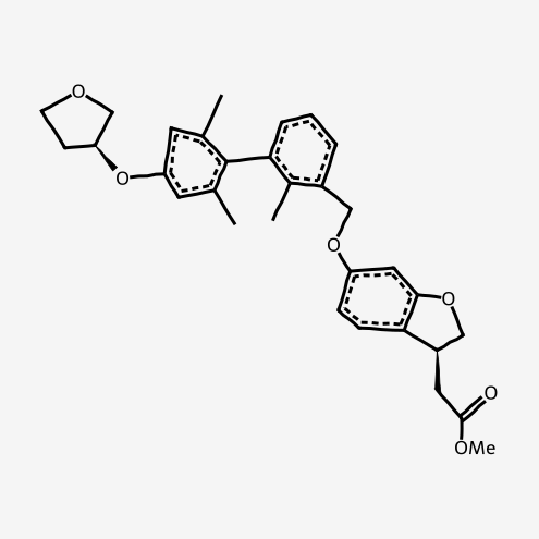 COC(=O)C[C@@H]1COc2cc(OCc3cccc(-c4c(C)cc(O[C@H]5CCOC5)cc4C)c3C)ccc21